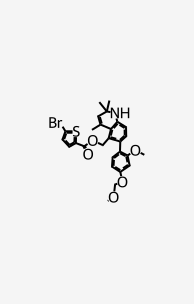 COCOc1ccc(-c2ccc3c(c2COC(=O)c2ccc(Br)s2)C(C)=CC(C)(C)N3)c(OC)c1